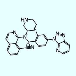 N#Cc1cccc2ccnc(N(C(=O)c3ccc(-n4nnc5cccnc54)cc3F)[C@@H]3CCCNC3)c12